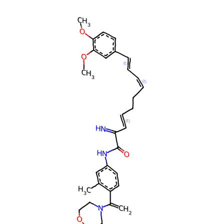 C=C(c1ccc(NC(=O)C(=N)/C=C/CC/C=C\C=C\c2ccc(OC)c(OC)c2)cc1C)N1CCOCC1